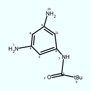 CC(C)(C)C(=O)Nc1cc(N)cc(N)c1